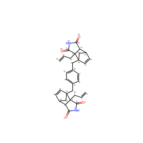 C=CCC12C(=O)NC(=O)C1C1C=CC2(Cc2ccc(CC34C=CC(C3)C3C(=O)NC(=O)C34CC=C)cc2)C1